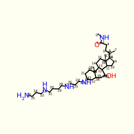 CNC(=O)CC[C@@H](C)[C@H]1CCC2C3C(CC[C@@]21C)[C@@]1(C)CC[C@H](NCCCNCCCCNCCCN)CC1C[C@H]3O